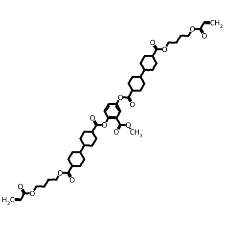 C=CC(=O)OCCCCOC(=O)C1CCC(C2CCC(C(=O)Oc3ccc(OC(=O)C4CCC(C5CCC(C(=O)OCCCCOC(=O)C=C)CC5)CC4)c(C(=O)OC)c3)CC2)CC1